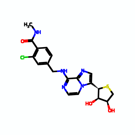 CNC(=O)c1ccc(CNc2nccn3c([C@@H]4SC[C@@H](O)[C@H]4O)cnc23)cc1Cl